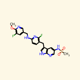 COc1ncc(CNc2ccc(Cc3c[nH]c4ncc(NS(C)(=O)=O)cc34)c(F)n2)cc1F